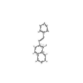 C[n+]1c(C=Cc2ccccn2)ccc2ccccc21